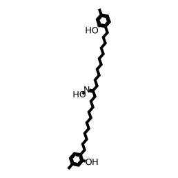 Cc1ccc(CCCCCCCCCCCC(CCCCCCCCCCCc2ccc(C)cc2O)=NO)c(O)c1